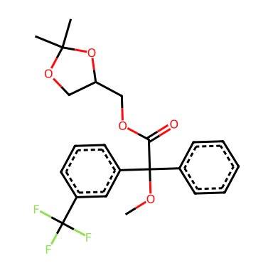 COC(C(=O)OCC1COC(C)(C)O1)(c1ccccc1)c1cccc(C(F)(F)F)c1